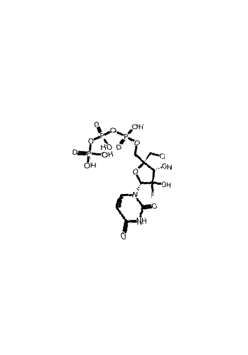 O=c1ccn([C@@H]2O[C@](CCl)(COP(=O)(O)OP(=O)(O)OP(=O)(O)O)[C@H](O)C2(O)F)c(=O)[nH]1